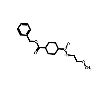 COCCN[S+]([O-])C1CCC(C(=O)OCc2ccccc2)CC1